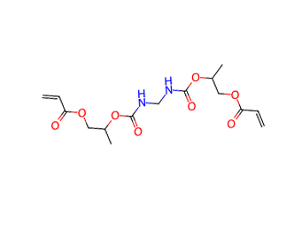 C=CC(=O)OCC(C)OC(=O)NCNC(=O)OC(C)COC(=O)C=C